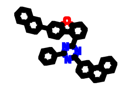 c1ccc(-c2nc(-c3ccc4ccc5ccccc5c4c3)nc(-c3cccc4oc5cc(-c6ccc7ccccc7c6)ccc5c34)n2)cc1